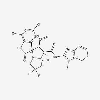 Cn1c(NC(=O)[C@H]2[C@H]3CC(F)(F)CN3[C@]3(C(=O)Nc4c(Cl)cc(Cl)cc43)[C@H]2C(=O)O)nc2c1CCC=C2